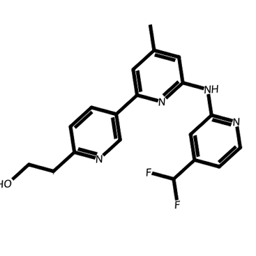 Cc1cc(Nc2cc(C(F)F)ccn2)nc(-c2ccc([CH]CO)nc2)c1